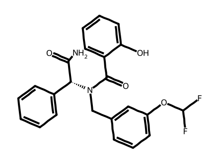 NC(=O)[C@@H](c1ccccc1)N(Cc1cccc(OC(F)F)c1)C(=O)c1ccccc1O